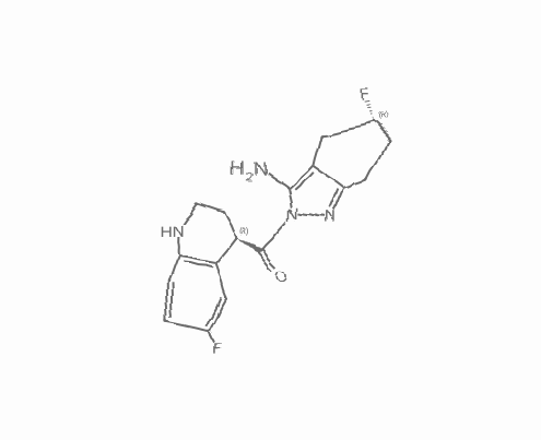 Nc1c2c(nn1C(=O)[C@@H]1CCNc3ccc(F)cc31)CC[C@@H](F)C2